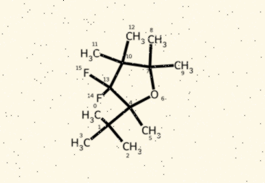 CC(C)(C)C1(C)OC(C)(C)C(C)(C)C1(F)F